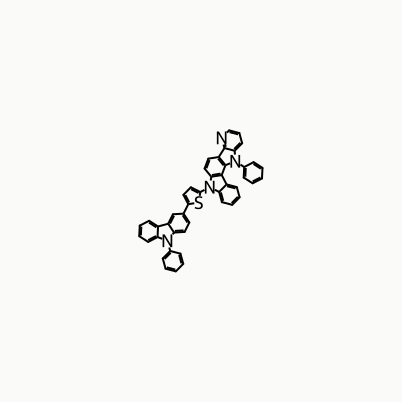 c1ccc(-n2c3ccccc3c3cc(-c4ccc(-n5c6ccccc6c6c5ccc5c7ncccc7n(-c7ccccc7)c56)s4)ccc32)cc1